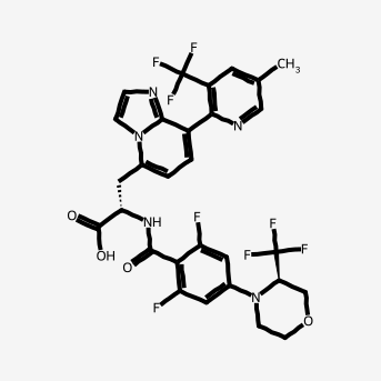 Cc1cnc(-c2ccc(C[C@H](NC(=O)c3c(F)cc(N4CCOC[C@@H]4C(F)(F)F)cc3F)C(=O)O)n3ccnc23)c(C(F)(F)F)c1